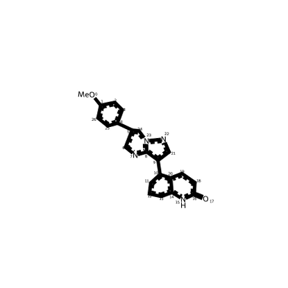 COc1ccc(-c2cnc3c(-c4cccc5[nH]c(=O)ccc45)cnn3c2)cc1